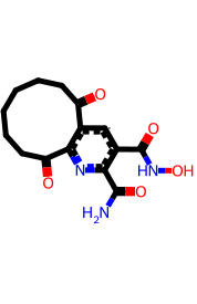 NC(=O)c1nc2c([c]c1C(=O)NO)C(=O)CCCCCCC2=O